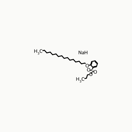 CCCCCCCCCCCCCCCCOc1ccccc1S(=O)(=O)OCCC.[NaH]